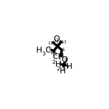 [2H]C([2H])([2H])OCCC1(C(C)C)COC1